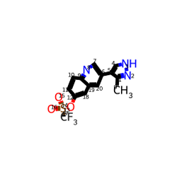 Cc1n[nH]cc1-c1cnc2ccc(OS(=O)(=O)C(F)(F)F)cc2c1